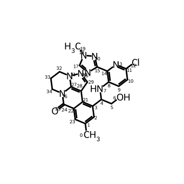 Cc1cc(C(CO)Nc2ccc(Cl)nc2-c2ncn(C)n2)c2c(c1)c(=O)n1c3c2cnn3CCC1